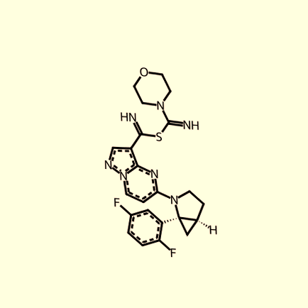 N=C(SC(=N)N1CCOCC1)c1cnn2ccc(N3CC[C@H]4C[C@]43c3cc(F)ccc3F)nc12